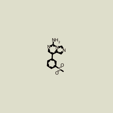 CS(=O)(=O)c1cccc(-c2cnc(N)n3cncc23)c1